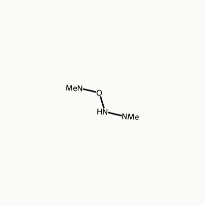 CNNONC